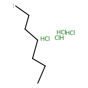 Cl.Cl.Cl.Cl.[C]CCCCCC